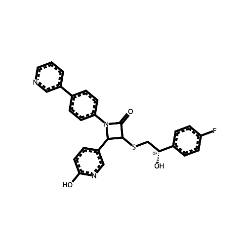 O=C1C(SC[C@@H](O)c2ccc(F)cc2)C(c2ccc(O)nc2)N1c1ccc(-c2cccnc2)cc1